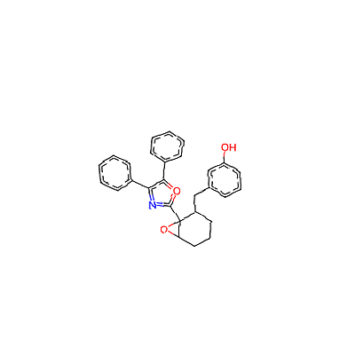 Oc1cccc(CC2CCCC3OC23c2nc(-c3ccccc3)c(-c3ccccc3)o2)c1